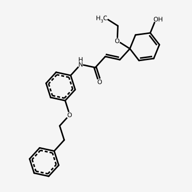 CCOC1(/C=C/C(=O)Nc2cccc(OCCc3ccccc3)c2)C=CC=C(O)C1